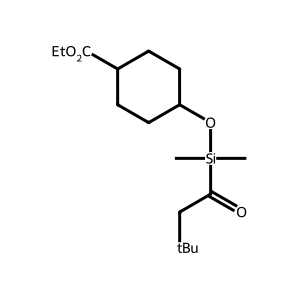 CCOC(=O)C1CCC(O[Si](C)(C)C(=O)CC(C)(C)C)CC1